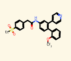 CCS(=O)(=O)c1ccc(CC(=O)Nc2ccc(-c3ccccc3OC(F)(F)F)c(-c3ccncc3)c2)cc1